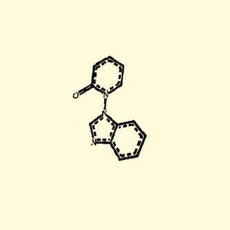 O=c1ccccn1-n1cnc2ccccc21